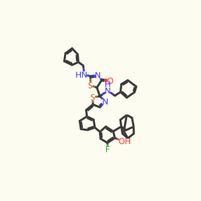 O=C1N=C(NCc2ccccc2)SC1C1(NCc2ccccc2)N=CC(=Cc2cccc(-c3cc(F)c(O)c(C45CC6CC(CC(C6)C4)C5)c3)c2)S1